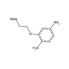 CNCCOc1cc([N+](=O)[O-])ccc1N